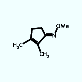 CO/N=C1\CCC(C)=C1C